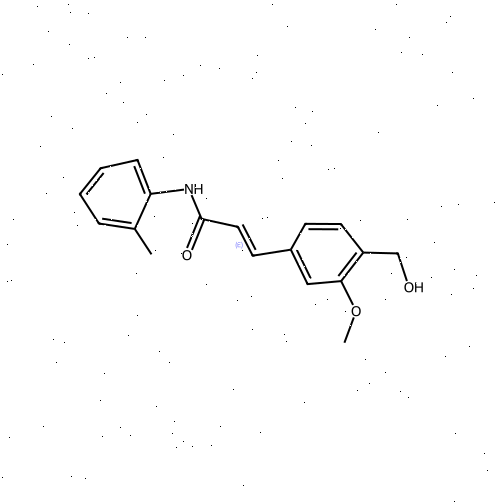 COc1cc(/C=C/C(=O)Nc2ccccc2C)ccc1CO